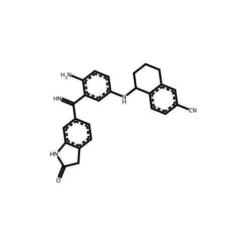 N#Cc1ccc2c(c1)CCCC2Nc1ccc(N)c(C(=N)c2ccc3c(c2)NC(=O)C3)c1